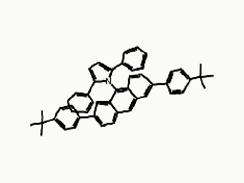 CC(C)(C)c1ccc(-c2ccc3c(-n4c(C5=CCCC=C5)ccc4-c4ccccc4)c4cc(-c5ccc(C(C)(C)C)cc5)ccc4cc3c2)cc1